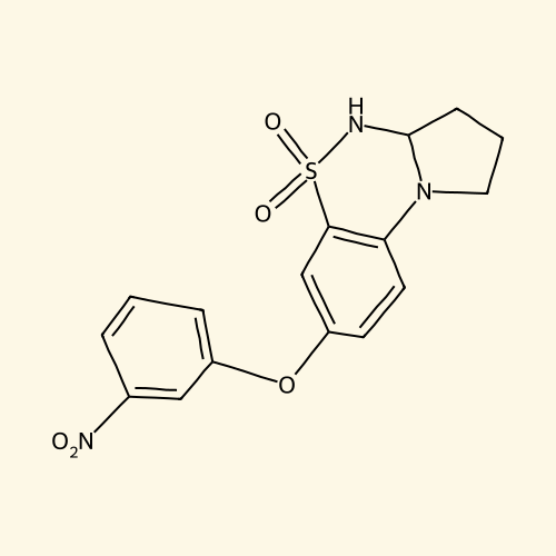 O=[N+]([O-])c1cccc(Oc2ccc3c(c2)S(=O)(=O)NC2CCCN32)c1